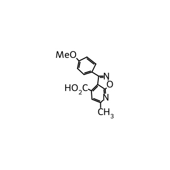 COc1ccc(-c2noc3nc(C)cc(C(=O)O)c23)cc1